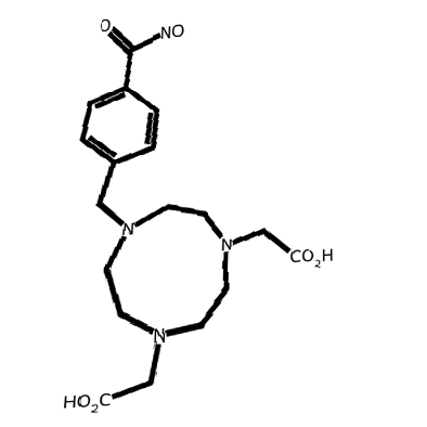 O=NC(=O)c1ccc(CN2CCN(CC(=O)O)CCN(CC(=O)O)CC2)cc1